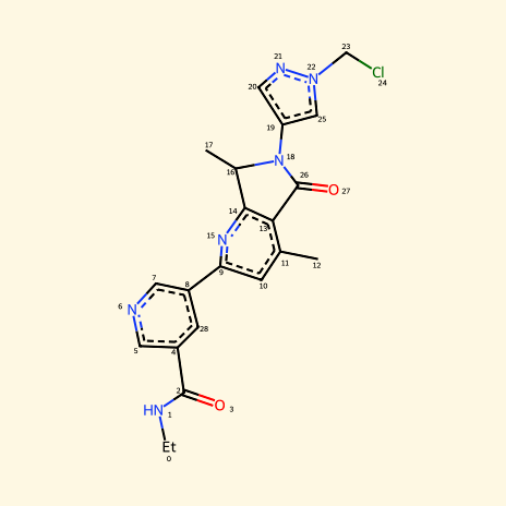 CCNC(=O)c1cncc(-c2cc(C)c3c(n2)C(C)N(c2cnn(CCl)c2)C3=O)c1